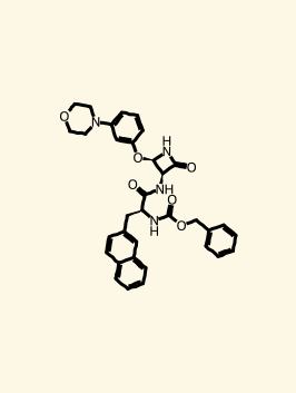 O=C(N[C@@H](Cc1ccc2ccccc2c1)C(=O)N[C@@H]1C(=O)N[C@@H]1Oc1cccc(N2CCOCC2)c1)OCc1ccccc1